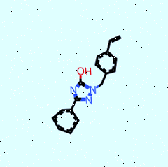 C=Cc1ccc(Cn2nc(-c3ccccc3)nc2O)cc1